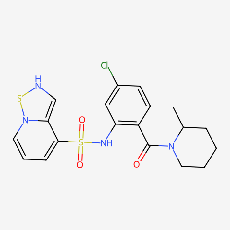 CC1CCCCN1C(=O)c1ccc(Cl)cc1NS(=O)(=O)C1=CC=CN2SNC=C12